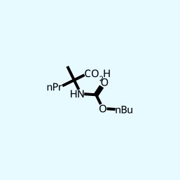 CCCCOC(=O)NC(C)(CCC)C(=O)O